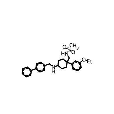 CCOc1cccc(C2(CNS(C)(=O)=O)CCC(NCc3ccc(-c4ccccc4)cc3)CC2)c1